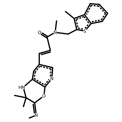 C/N=C1/Oc2ncc(/C=C/C(=O)N(C)Cc3sc4ccccc4c3C)cc2NC1(C)C